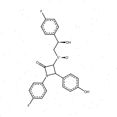 O=C1C([S@+]([O-])C[C@H](O)c2ccc(F)cc2)C(c2ccc(O)cc2)N1c1ccc(F)cc1